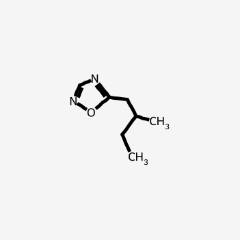 CCC(C)Cc1ncno1